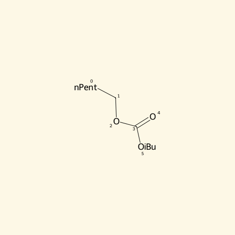 CCCCCCOC(=O)OCC(C)C